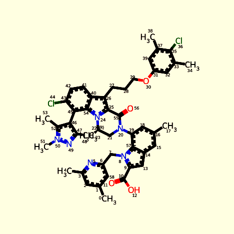 Cc1cc(C)nc(Cn2c(C(=O)O)cc3cc(C)cc(N4C[C@@H](C)n5c(c(CCCOc6cc(C)c(Cl)c(C)c6)c6ccc(Cl)c(-c7c(C)nn(C)c7C)c65)C4=O)c32)c1